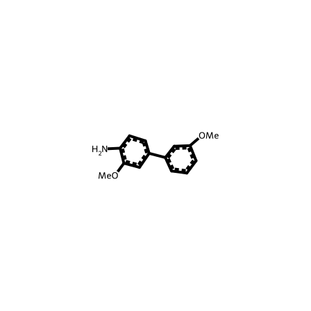 COc1cccc(-c2ccc(N)c(OC)c2)c1